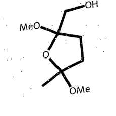 COC1(C)CCC(CO)(OC)O1